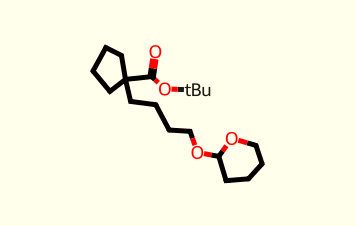 CC(C)(C)OC(=O)C1(CCCCOC2CCCCO2)CCCC1